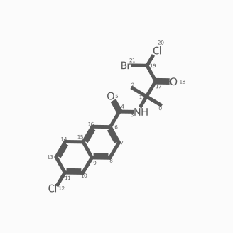 CC(C)(NC(=O)c1ccc2cc(Cl)ccc2c1)C(=O)C(Cl)Br